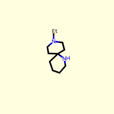 CCN1CCC2(CCCCN2)CC1